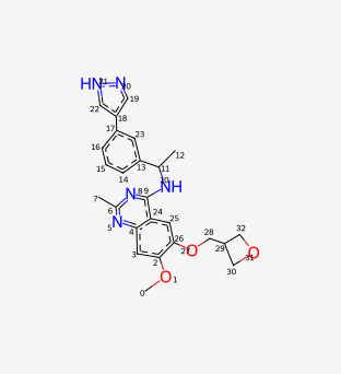 COc1cc2nc(C)nc(NC(C)c3cccc(-c4cn[nH]c4)c3)c2cc1OCC1COC1